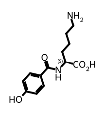 NCCCC[C@H](NC(=O)c1ccc(O)cc1)C(=O)O